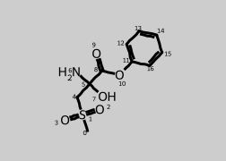 CS(=O)(=O)CC(N)(O)C(=O)Oc1ccccc1